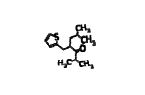 CC(C)CC(Cc1cccs1)C(=O)C(C)C